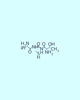 CC(C)[C@H](N)C(=O)N[C@@H](CS)C(=O)NC(=O)[C@@H](N)[C@@H](C)O